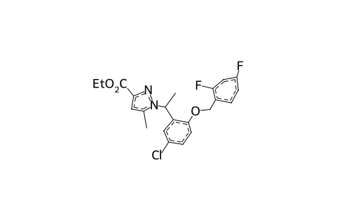 CCOC(=O)c1cc(C)n(C(C)c2cc(Cl)ccc2OCc2ccc(F)cc2F)n1